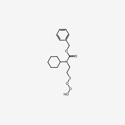 O=C(OCc1ccccc1)N(CCSOOO)C1CCCCC1